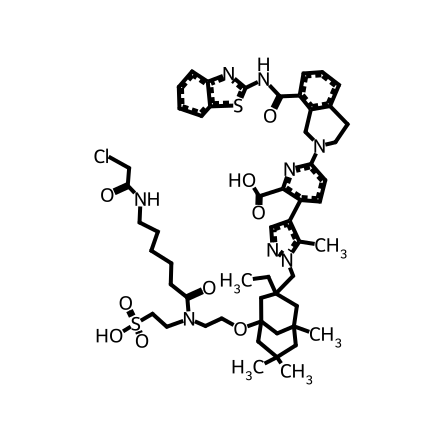 CCC1(Cn2ncc(-c3ccc(N4CCc5cccc(C(=O)Nc6nc7ccccc7s6)c5C4)nc3C(=O)O)c2C)CC2(C)CC(C)(C)CC(OCCN(CCS(=O)(=O)O)C(=O)CCCCCNC(=O)CCl)(C2)C1